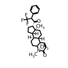 CN1C(=O)C=C[C@@]2(C)C1CC[C@H]1[C@@H]3CC[C@H](C(=O)C(c4ccccc4)C(F)(F)F)[C@@]3(C)CC[C@@H]12